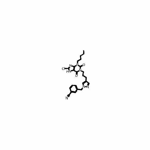 CCCCCn1c(=O)n(CCCc2cnn(Cc3cccc(C#N)c3)c2)c(=O)c2[nH]c(Cl)nc21